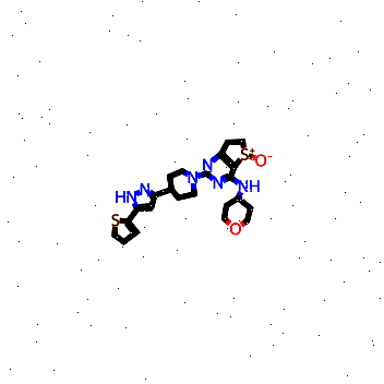 [O-][S+]1CCc2nc(N3CCC(c4cc(C5=CCCS5)[nH]n4)CC3)nc(NC3CCOCC3)c21